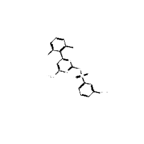 COc1cc(-c2c(C)cccc2C)nc(NS(=O)(=O)c2cccc(C=O)c2)n1